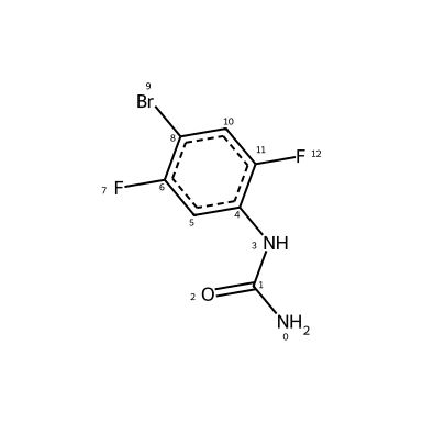 NC(=O)Nc1cc(F)c(Br)cc1F